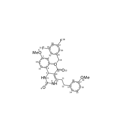 COc1ccc(C2NC(=O)NC(CCc3cccc(OC)c3)=C2C(=O)OCc2cc(F)cc(F)c2)cc1